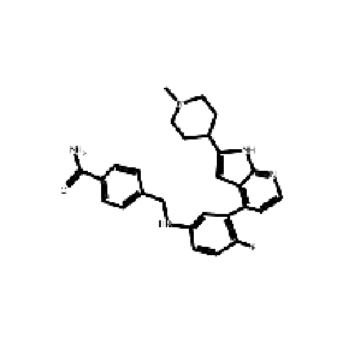 CN1CCC(c2cc3c(-c4cc(NCc5ccc(C(N)=O)cc5)ccc4F)ccnc3[nH]2)CC1